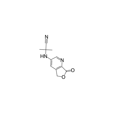 CC(C)(C#N)Nc1cnc2c(c1)COC2=O